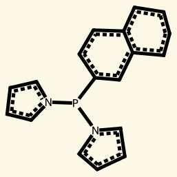 c1ccc2cc(P(n3cccc3)n3cccc3)ccc2c1